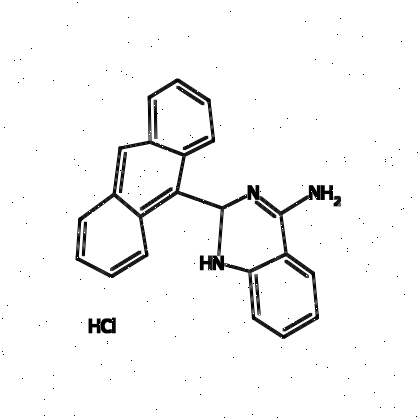 Cl.NC1=NC(c2c3ccccc3cc3ccccc23)Nc2ccccc21